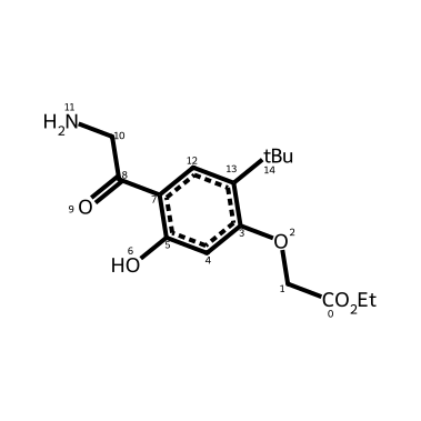 CCOC(=O)COc1cc(O)c(C(=O)CN)cc1C(C)(C)C